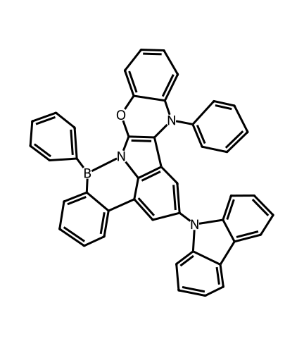 c1ccc(B2c3ccccc3-c3cc(-n4c5ccccc5c5ccccc54)cc4c5c(n2c34)Oc2ccccc2N5c2ccccc2)cc1